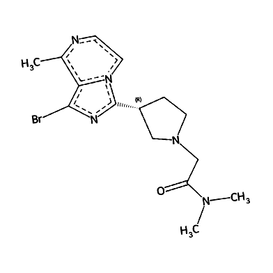 Cc1nccn2c([C@@H]3CCN(CC(=O)N(C)C)C3)nc(Br)c12